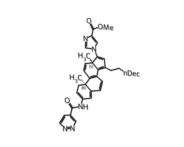 CCCCCCCCCCCCC1=C2C3=C(C=C[C@]2(C)C(n2cnc(C(=O)OC)c2)=C1)[C@]1(C)CC=C(NC(=O)c2ccnnc2)C=C1C=C3